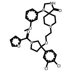 COc1cccc(N2CNC(=O)C23CCN(CCOC2(c4ccc(Cl)c(Cl)c4)CCN(C(=O)c4ccco4)C2)CC3)c1